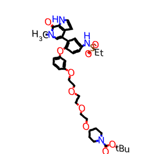 CCS(=O)(=O)Nc1ccc(Oc2cccc(OCCOCCOCCOC3CCN(C(=O)OC(C)(C)C)CC3)c2)c(-c2cn(C)c(=O)c3[nH]ccc23)c1